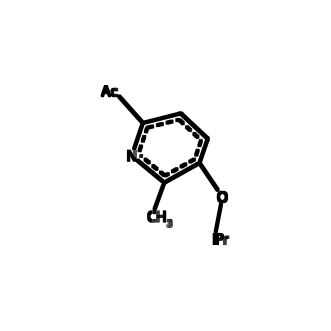 CC(=O)c1ccc(OC(C)C)c(C)n1